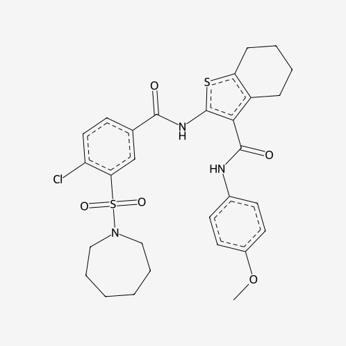 COc1ccc(NC(=O)c2c(NC(=O)c3ccc(Cl)c(S(=O)(=O)N4CCCCCC4)c3)sc3c2CCCC3)cc1